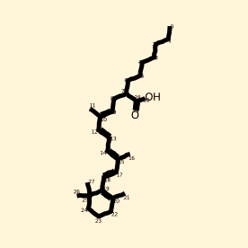 CCCCCCCC(CC=C(C)C=CC=C(C)C=CC1=C(C)CCCC1(C)C)C(=O)O